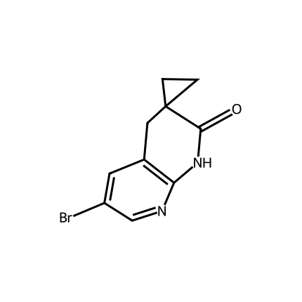 O=C1Nc2ncc(Br)cc2CC12CC2